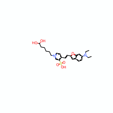 CCN(CC)c1ccc2cc(/C=C/c3cc[n+](CCCCCC(O)O)cc3S(=O)(=O)O)oc2c1